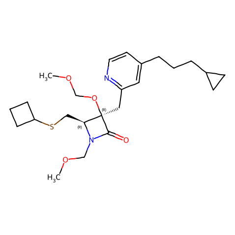 COCO[C@@]1(Cc2cc(CCCC3CC3)ccn2)C(=O)N(COC)[C@H]1CSC1CCC1